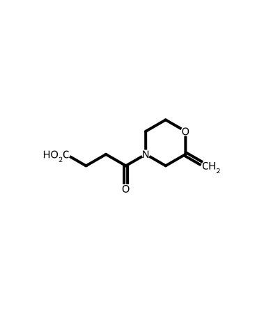 C=C1CN(C(=O)CCC(=O)O)CCO1